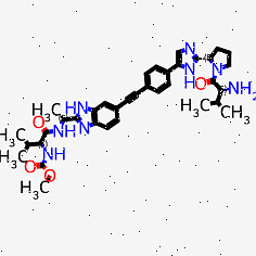 COC(=O)N[C@H](C(=O)N[C@@H](C)c1nc2ccc(C#Cc3ccc(-c4cnc([C@@H]5CCCN5C(=O)[C@@H](N)C(C)C)[nH]4)cc3)cc2[nH]1)C(C)C